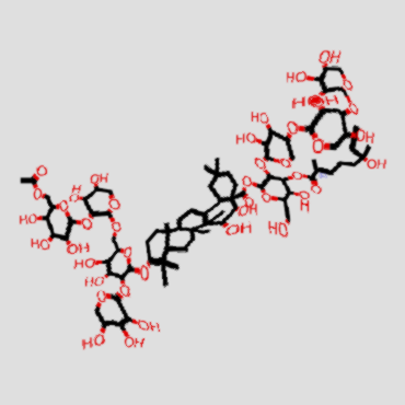 C=CC(C)(O)CC/C=C(\C)C(=O)OC1C(O)C(CO)OC(OC(=O)C23CCC(C)(C)CC2C2=CCC4C5(C)CCC(OC6OC(COC7OCC(O)C(O)C7OC7OC(COC(C)=O)C(O)C(O)C7O)C(O)C(O)C6OC6OCC(O)C(O)C6O)C(C)(C)C5CCC4(C)C2(C)C(O)C3O)C1OC1OCC(OC2OCC(O)C(OC3OCC(O)C(O)C3O)C2O)C(O)C1O